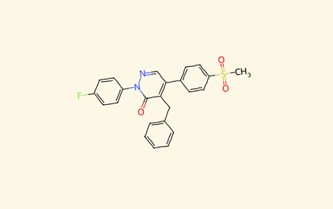 CS(=O)(=O)c1ccc(-c2cnn(-c3ccc(F)cc3)c(=O)c2Cc2ccccc2)cc1